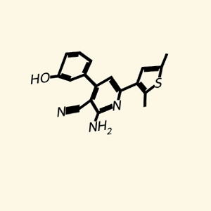 Cc1cc(-c2cc(-c3cccc(O)c3)c(C#N)c(N)n2)c(C)s1